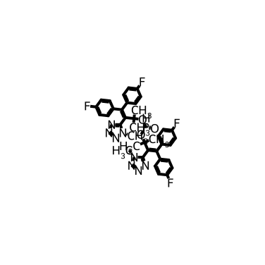 Cn1nnnc1C(=C(c1ccc(F)cc1)c1ccc(F)cc1)C(C)(C)O[PH](=O)OC(C)(C)C(=C(c1ccc(F)cc1)c1ccc(F)cc1)c1nnnn1C